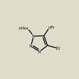 CCCCCCn1nnc(CC)c1CCC